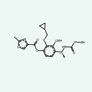 COc1c([C@H](C)NC(=O)OC(C)(C)C)ccc(OC(=O)c2coc(C)n2)c1OCC1CC1